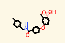 Cc1ccc(CNC(=O)c2ccc(Oc3ccc4c(c3)COB4O)cc2)cc1